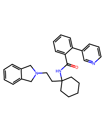 O=C(NC1(CCN2Cc3ccccc3C2)CCCCC1)c1ccccc1-c1cccnc1